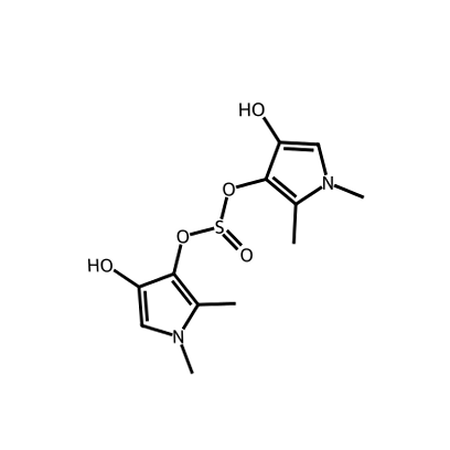 Cc1c(OS(=O)Oc2c(O)cn(C)c2C)c(O)cn1C